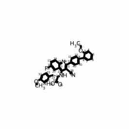 CCOc1ccccc1-c1ccc(-c2nc3ccc(F)cc3c(N[C@@H](Cc3ccc(OC)cc3)C(=O)O)c2C#N)cc1